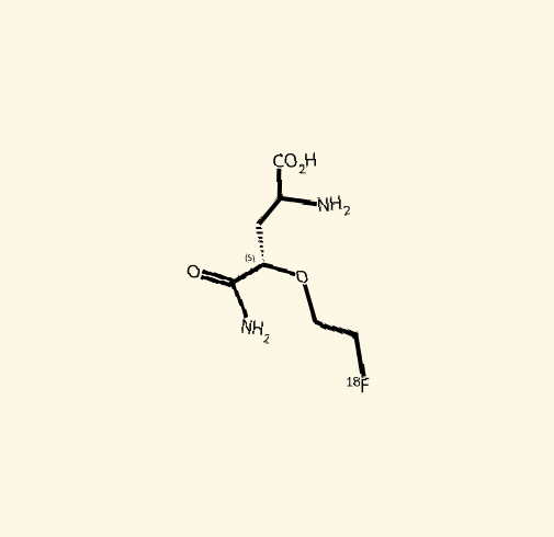 NC(=O)[C@H](CC(N)C(=O)O)OCC[18F]